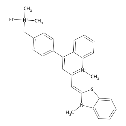 CC[N+](C)(C)Cc1ccc(-c2cc(/C=C3\Sc4ccccc4N3C)[n+](C)c3ccccc23)cc1